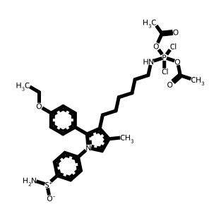 CCOc1ccc(-c2c(CCCCCCNP(Cl)(Cl)(OC(C)=O)OC(C)=O)c(C)cn2-c2ccc([S+](N)[O-])cc2)cc1